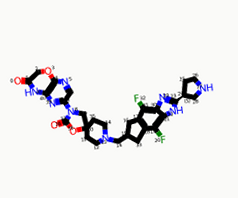 O=C1COc2ncc(N3CC4(CCN(CC5Cc6c(c(F)c7[nH]c([C@H]8CCNC8)nc7c6F)C5)CC4)OC3=O)nc2N1